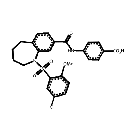 COc1ccc(Cl)cc1S(=O)(=O)N1CCCCc2ccc(C(=O)Nc3ccc(C(=O)O)cc3)cc21